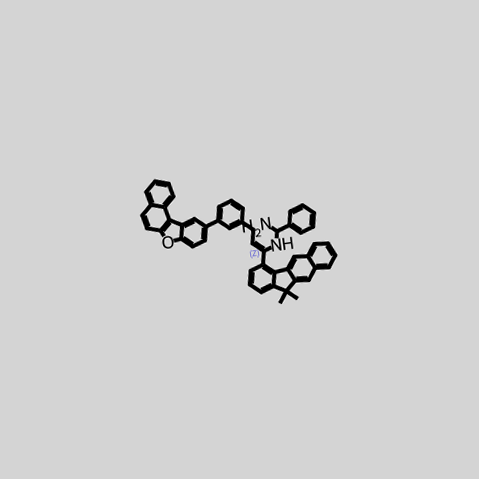 CC1(C)c2cc3ccccc3cc2-c2c(/C(=C/Cc3cccc(-c4ccc5oc6ccc7ccccc7c6c5c4)c3)NC(N)c3ccccc3)cccc21